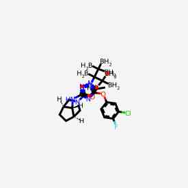 BC(B)(B)C(B)(n1nc(N[C@@H]2[C@@H]3CC[C@H]2CN(c2nnc(C)o2)C3)nc1Oc1ccc(F)c(Cl)c1)C(B)(B)B